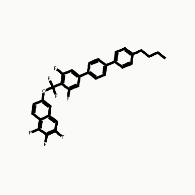 CCCCc1ccc(-c2ccc(-c3cc(F)c(C(F)(F)Oc4ccc5c(F)c(F)c(F)cc5c4)c(F)c3)cc2)cc1